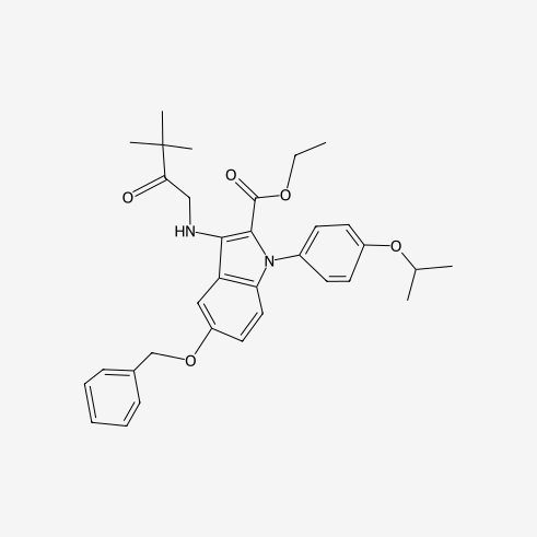 CCOC(=O)c1c(NCC(=O)C(C)(C)C)c2cc(OCc3ccccc3)ccc2n1-c1ccc(OC(C)C)cc1